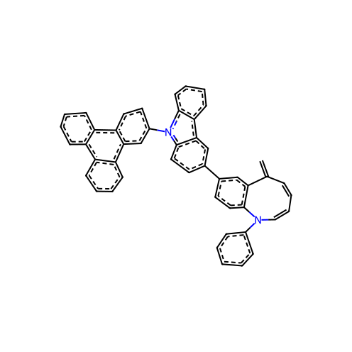 C=C1/C=C\C=C/N(c2ccccc2)c2ccc(-c3ccc4c(c3)c3ccccc3n4-c3ccc4c5ccccc5c5ccccc5c4c3)cc21